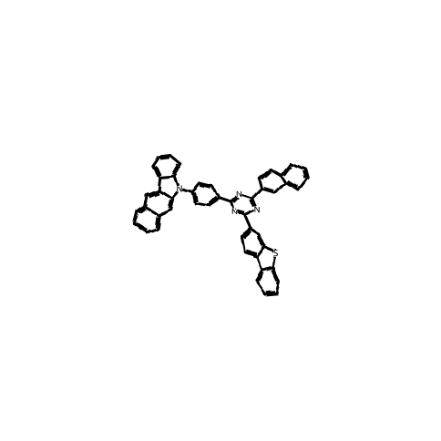 c1ccc2cc(-c3nc(-c4ccc(-n5c6ccccc6c6cc7ccccc7cc65)cc4)nc(-c4ccc5c(c4)sc4ccccc45)n3)ccc2c1